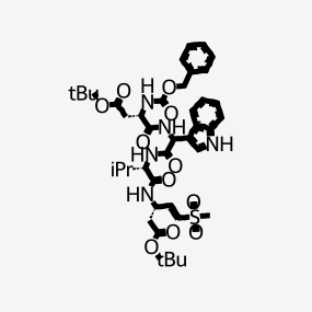 CC(C)[C@H](NC(=O)C(NC(=O)[C@H](CC(=O)OC(C)(C)C)NC(=O)OCc1ccccc1)c1c[nH]c2ccccc12)C(=O)N[C@H](/C=C/S(C)(=O)=O)CC(=O)OC(C)(C)C